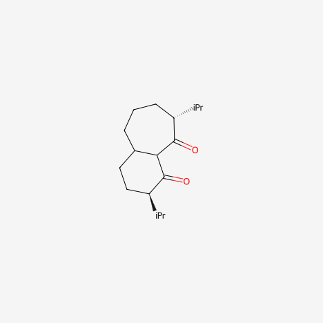 CC(C)[C@H]1CCCC2CC[C@H](C(C)C)C(=O)C2C1=O